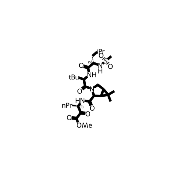 CCC[C@@H](NC(=O)C1C2C(CN1C(=O)C(NC(=O)[C@H](CC(C)C)NS(C)(=O)=O)C(C)(C)C)C2(C)C)C(=O)C(=O)OC